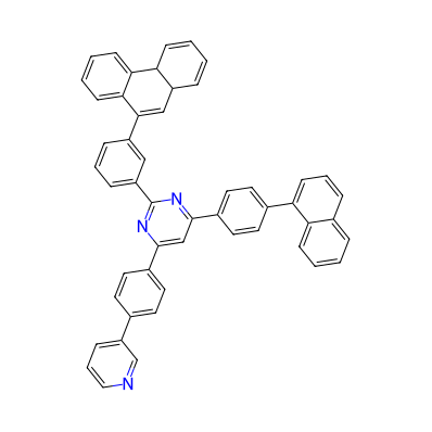 C1=CC2C=C(c3cccc(-c4nc(-c5ccc(-c6cccnc6)cc5)cc(-c5ccc(-c6cccc7ccccc67)cc5)n4)c3)c3ccccc3C2C=C1